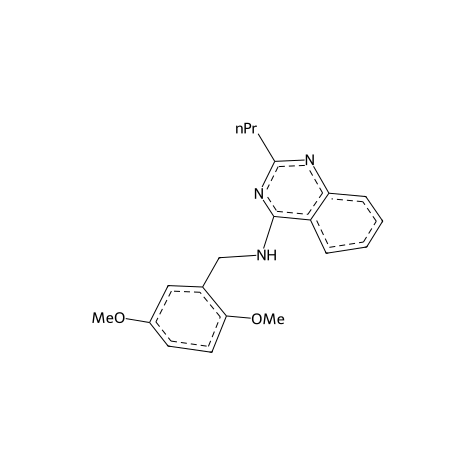 CCCc1nc(NCc2cc(OC)ccc2OC)c2ccccc2n1